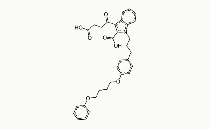 O=C(O)CCC(=O)c1c(C(=O)O)n(CCCc2ccc(OCCCCOc3ccccc3)cc2)c2ccccc12